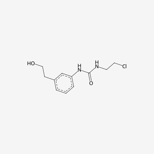 O=C(NCCCl)Nc1cccc(CCO)c1